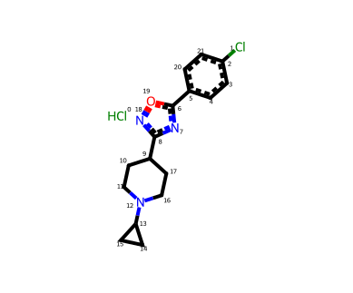 Cl.Clc1ccc(-c2nc(C3CCN(C4CC4)CC3)no2)cc1